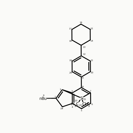 CCCCC1=C2c3c(ccc(c3-c3ccc(C4CCCCC4)cc3)[Si]2(C)C)[CH]1